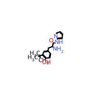 CC(C)(C)c1cc(CC(N)C(=O)Nc2ccccn2)ccc1O